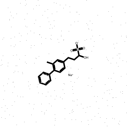 Cc1cc(CCC(O)S(=O)(=O)[O-])ccc1-c1ccccc1.[Na+]